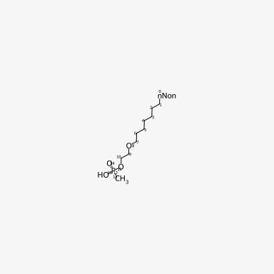 CCCCCCCCCCCCCCCCOCCOP(C)(=O)O